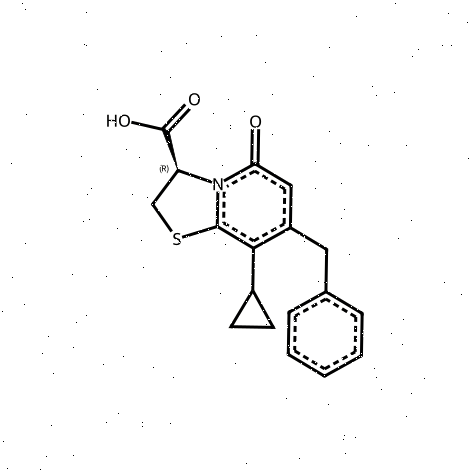 O=C(O)[C@@H]1CSc2c(C3CC3)c(Cc3ccccc3)cc(=O)n21